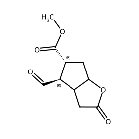 COC(=O)[C@@H]1CC2OC(=O)CC2[C@H]1C=O